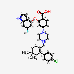 CC1(C)CCC(CN2CCN(c3ccc(C(=O)O)c(Oc4cc(F)cc5[nH]ccc45)c3)CC2)=C(c2ccc(Cl)cc2)C1